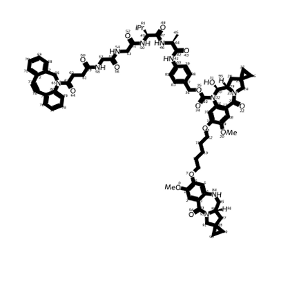 COc1cc2c(cc1OCCCCCOc1cc3c(cc1OC)C(=O)N1CC4(CC4)C[C@H]1[C@H](O)N3C(=O)OCc1ccc(NC(=O)[C@H](C)NC(=O)[C@@H](NC(=O)CNC(=O)CNC(=O)CCC(=O)N3Cc4ccccc4C#Cc4ccccc43)C(C)C)cc1)NC[C@@H]1CC3(CC3)CN1C2=O